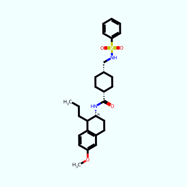 CCCC1c2ccc(OC)cc2CC[C@H]1NC(=O)[C@H]1CC[C@@H](CNS(=O)(=O)c2ccccc2)CC1